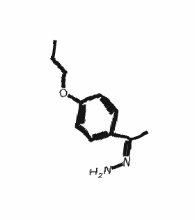 CCCOc1ccc(/C(C)=N\N)cc1